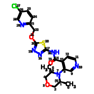 C[C@H]1COC[C@H](C)N1c1cnccc1C(=O)Nc1nnc(OCc2ccc(Cl)cn2)s1